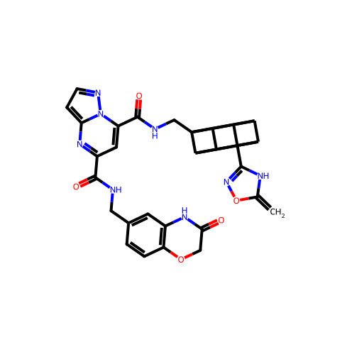 C=C1NC(C23C4C5C2C2C3C4C52CNC(=O)c2cc(C(=O)NCc3ccc4c(c3)NC(=O)CO4)nc3ccnn23)=NO1